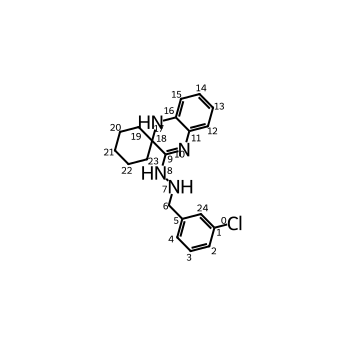 Clc1cccc(CNNC2=Nc3ccccc3NC23CCCCC3)c1